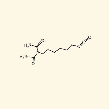 NC(=O)N(CCCCCCN=C=O)C(N)=O